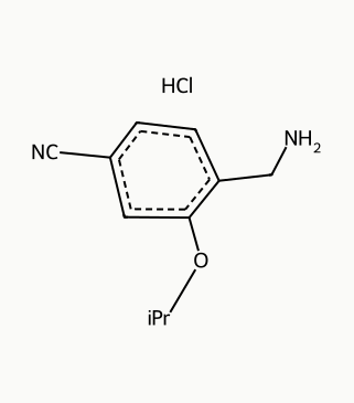 CC(C)Oc1cc(C#N)ccc1CN.Cl